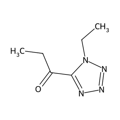 CCC(=O)c1nnnn1CC